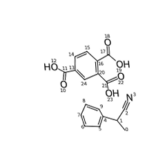 CC(C#N)c1ccccc1.O=C(O)c1ccc(C(=O)O)c(C(=O)O)c1